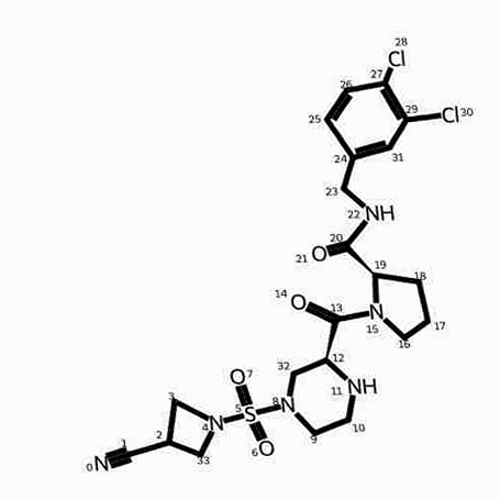 N#CC1CN(S(=O)(=O)N2CCN[C@H](C(=O)N3CCC[C@@H]3C(=O)NCc3ccc(Cl)c(Cl)c3)C2)C1